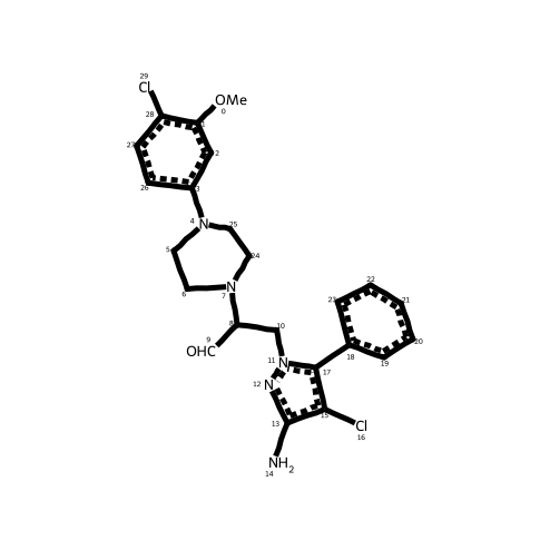 COc1cc(N2CCN(C(C=O)Cn3nc(N)c(Cl)c3-c3ccccc3)CC2)ccc1Cl